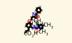 Cc1cc(C)c(C(=O)NCc2cc(OCCc3nc(-c4ccccc4)oc3C)ccc2CCC(=O)O)c(C)c1